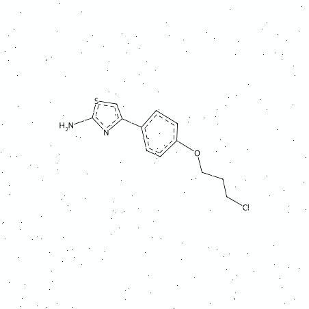 Nc1nc(-c2ccc(OCCCCl)cc2)cs1